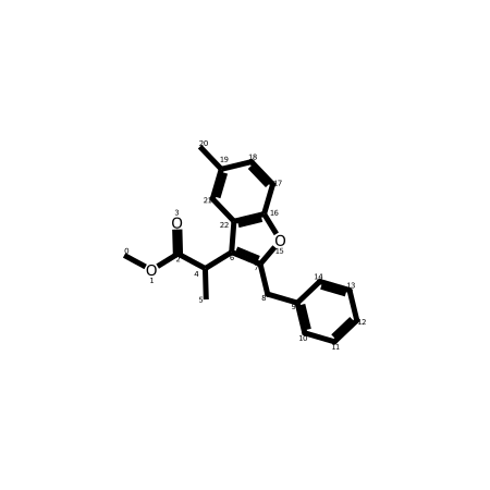 COC(=O)C(C)c1c(Cc2ccccc2)oc2ccc(C)cc12